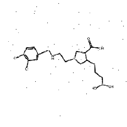 O=C(O)C1CN(CCNCc2ccc(Cl)c(Cl)c2)CC1CCCB(O)O